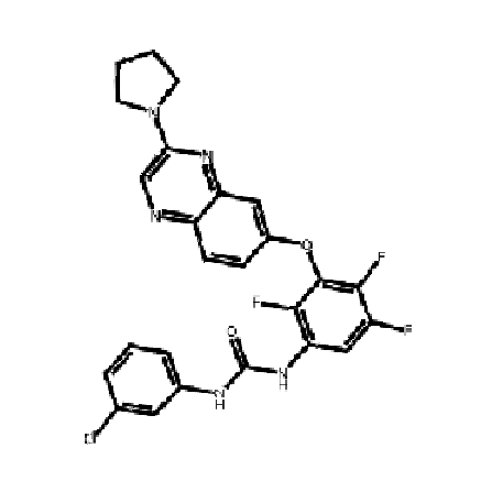 O=C(Nc1cccc(Cl)c1)Nc1cc(F)c(F)c(Oc2ccc3ncc(N4CCCC4)nc3c2)c1F